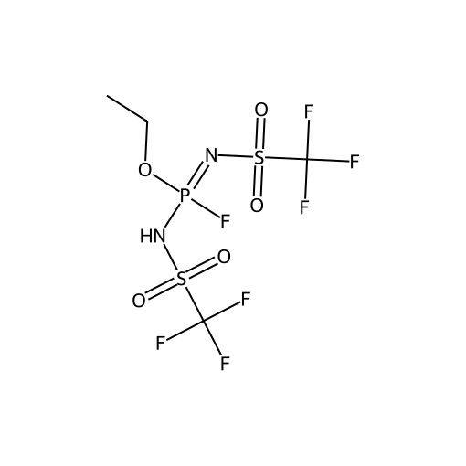 CCOP(F)(=NS(=O)(=O)C(F)(F)F)NS(=O)(=O)C(F)(F)F